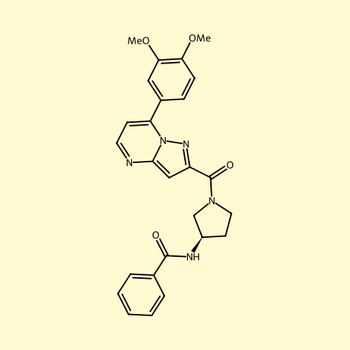 COc1ccc(-c2ccnc3cc(C(=O)N4CC[C@@H](NC(=O)c5ccccc5)C4)nn23)cc1OC